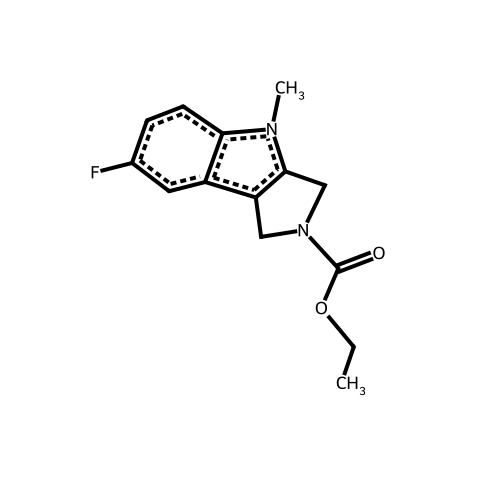 CCOC(=O)N1Cc2c(n(C)c3ccc(F)cc23)C1